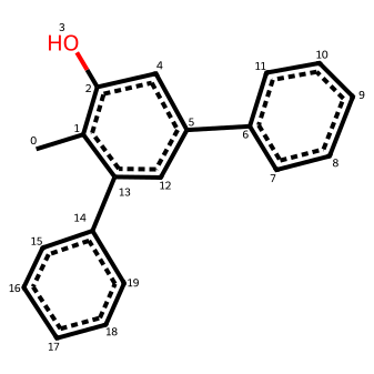 Cc1c(O)cc(-c2ccccc2)cc1-c1ccccc1